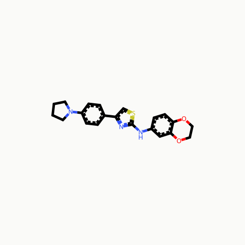 c1cc2c(cc1Nc1nc(-c3ccc(N4CCCC4)cc3)cs1)OCCO2